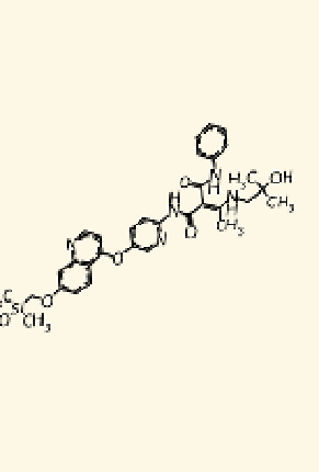 C/C(NCC(C)(C)O)=C(/C(=O)Nc1ccccc1)C(=O)Nc1ccc(Oc2ccnc3cc(OC[Si](C)(C)O)ccc23)cn1